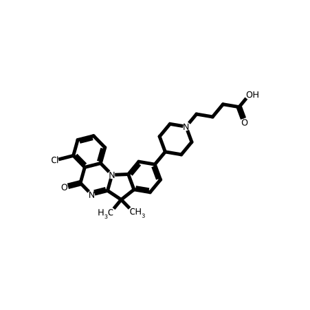 CC1(C)c2ccc(C3CCN(CCCC(=O)O)CC3)cc2-n2c1nc(=O)c1c(Cl)cccc12